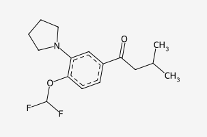 CC(C)CC(=O)c1ccc(OC(F)F)c(N2CCCC2)c1